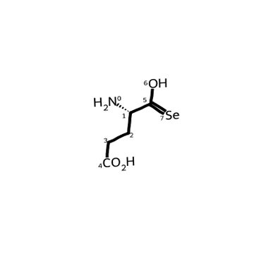 N[C@@H](CCC(=O)O)C(O)=[Se]